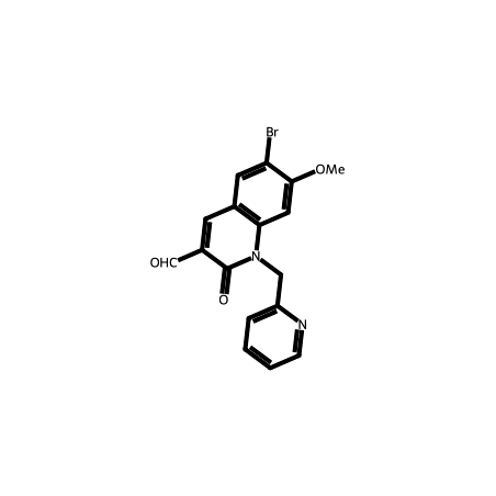 COc1cc2c(cc1Br)cc(C=O)c(=O)n2Cc1ccccn1